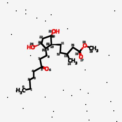 CCCCCC(=O)CC[C@@H]1[C@H](CCC(C)CC(=O)OC)[C@@H](O)C[C@H]1O